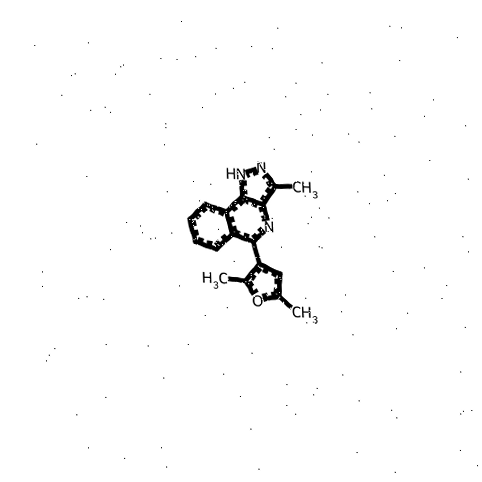 Cc1cc(-c2nc3c(C)n[nH]c3c3ccccc23)c(C)o1